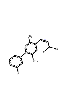 CCC(F)/C=C\c1cc(C=O)c(-c2cccc(F)c2)nc1C